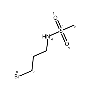 CS(=O)(=O)NCCCBr